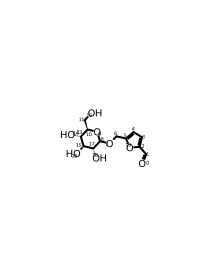 O=Cc1ccc(COC2O[C@H](CO)[C@@H](O)[C@H](O)[C@H]2O)o1